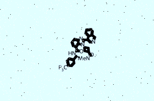 CNC(=O)C1CC(n2c(-c3cncc4ccccc34)nc3cccc(C(=O)N[C@@H](C)c4ccc(C(F)(F)F)cc4)c32)C1